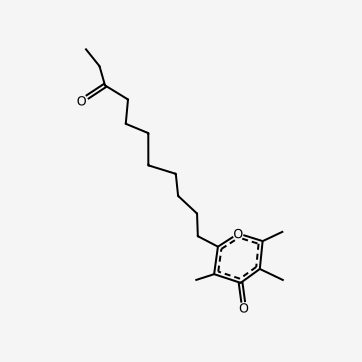 CCC(=O)CCCCCCCCc1oc(C)c(C)c(=O)c1C